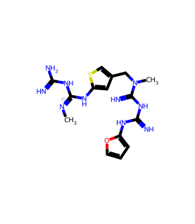 C/N=C(/NC(=N)N)Nc1cc(CN(C)C(=N)NC(=N)Nc2ccco2)cs1